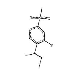 CCC(C)c1ccc(S(C)(=O)=O)cc1F